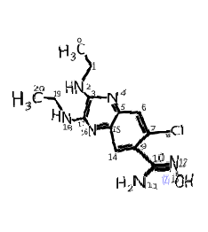 CCNc1nc2cc(Cl)c(/C(N)=N/O)cc2nc1NCC